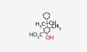 Cc1cc(O)c(C(=O)O)cc1C(C)(C)c1ccccc1